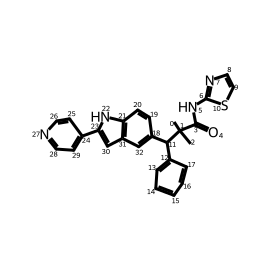 CC(C)(C(=O)Nc1nccs1)C(c1ccccc1)c1ccc2[nH]c(-c3ccncc3)cc2c1